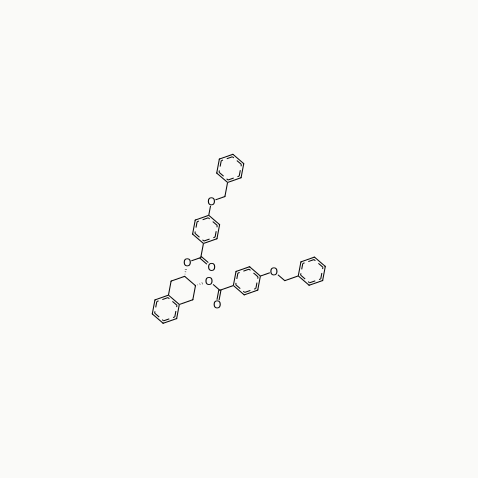 O=C(O[C@H]1Cc2ccccc2C[C@H]1OC(=O)c1ccc(OCc2ccccc2)cc1)c1ccc(OCc2ccccc2)cc1